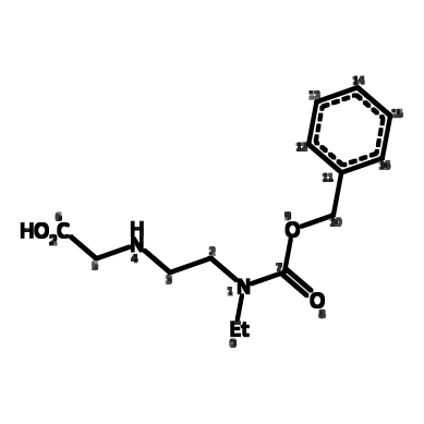 CCN(CCNCC(=O)O)C(=O)OCc1ccccc1